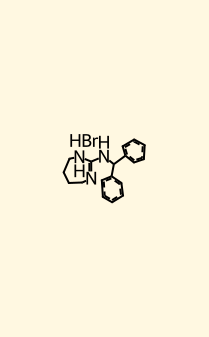 Br.c1ccc(C(NC2=NCCCCN2)c2ccccc2)cc1